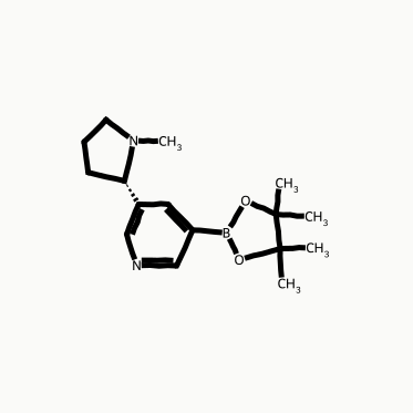 CN1CCC[C@H]1c1cncc(B2OC(C)(C)C(C)(C)O2)c1